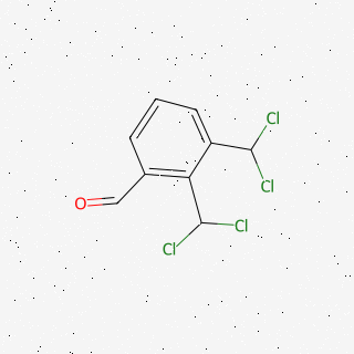 O=Cc1cccc(C(Cl)Cl)c1C(Cl)Cl